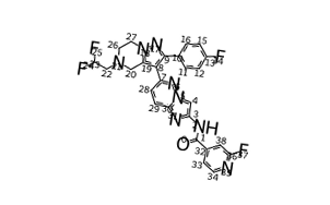 O=C(Nc1cn2nc(-c3c(-c4ccc(F)cc4)nn4c3CN(CC(F)F)CC4)ccc2n1)c1ccnc(F)c1